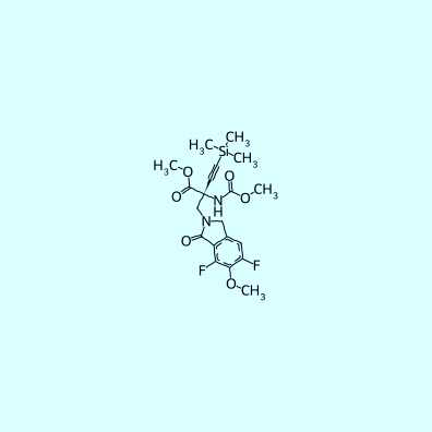 COC(=O)N[C@](C#C[Si](C)(C)C)(CN1Cc2cc(F)c(OC)c(F)c2C1=O)C(=O)OC